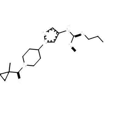 C=N/C(=N\CCC)Nc1cnn(C2CCN(C(=O)C3(C)CC3)CC2)c1